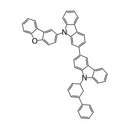 C1=CC(n2c3ccccc3c3cc(-c4ccc5c6ccccc6n(-c6ccc7oc8ccccc8c7c6)c5c4)ccc32)CC(c2ccccc2)=C1